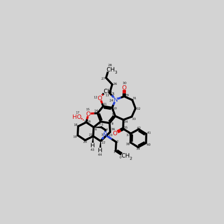 C=CCN1CC[C@]23c4c5c6c(c(OC)c4O[C@]2(O)CCC[C@H]3[C@H]1C5)N(CCCC)C(=O)CCCC6C(=O)c1ccccc1